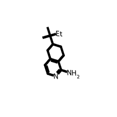 CCC(C)(C)C1CCc2c(ccnc2N)C1